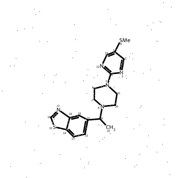 CSc1cnc(N2CCN(C(C)c3ccc4scnc4c3)CC2)nc1